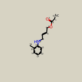 CC(=O)CC(=O)OCC=CCNc1ccccc1C